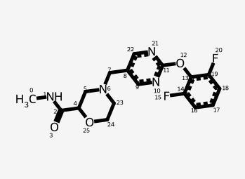 CNC(=O)C1CN(Cc2cnc(Oc3c(F)cccc3F)nc2)CCO1